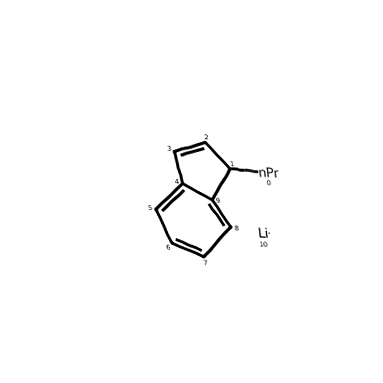 CCCC1C=Cc2ccccc21.[Li]